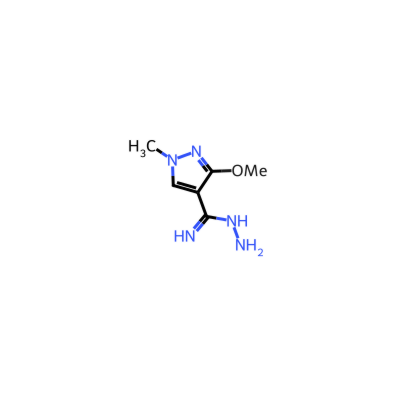 COc1nn(C)cc1C(=N)NN